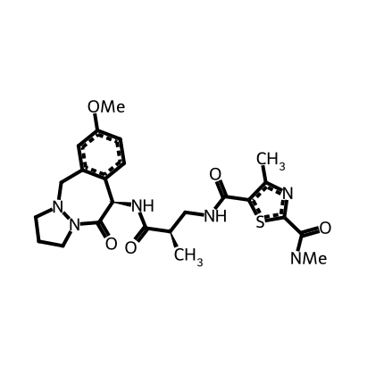 CNC(=O)c1nc(C)c(C(=O)NC[C@@H](C)C(=O)N[C@H]2C(=O)N3CCCN3Cc3cc(OC)ccc32)s1